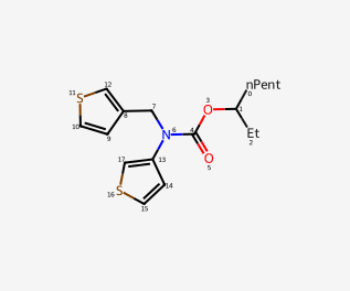 CCCCCC(CC)OC(=O)N(Cc1ccsc1)c1ccsc1